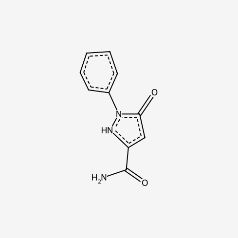 NC(=O)c1cc(=O)n(-c2ccccc2)[nH]1